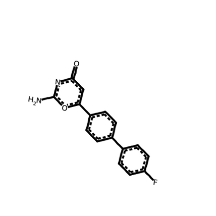 Nc1nc(=O)cc(-c2ccc(-c3ccc(F)cc3)cc2)o1